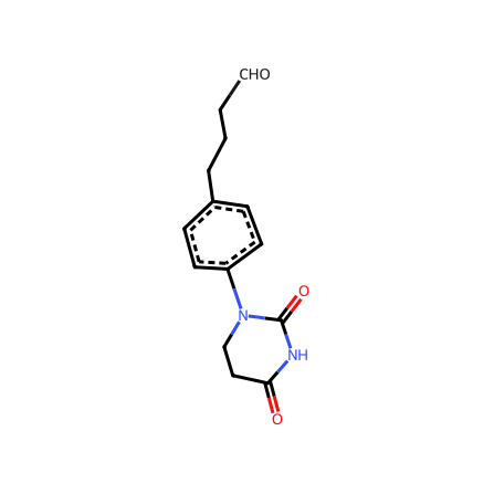 O=CCCCc1ccc(N2CCC(=O)NC2=O)cc1